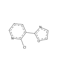 Clc1ncccc1-c1ncco1